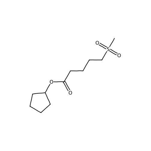 CS(=O)(=O)CCCCC(=O)OC1CCCC1